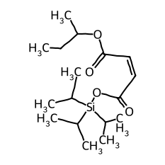 CCC(C)OC(=O)/C=C\C(=O)O[Si](C(C)C)(C(C)C)C(C)C